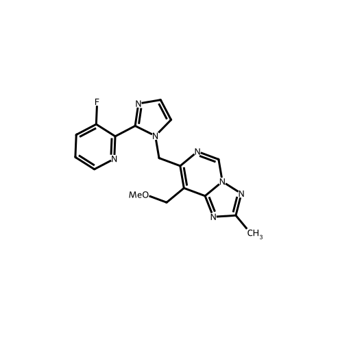 COCc1c(Cn2ccnc2-c2ncccc2F)ncn2nc(C)nc12